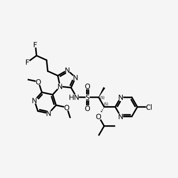 COc1ncnc(OC)c1-n1c(CCC(F)F)nnc1NS(=O)(=O)[C@@H](C)[C@@H](OC(C)C)c1ncc(Cl)cn1